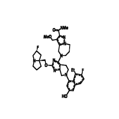 CCc1c(F)ccc2cc(O)cc(N3CCc4c(nc(OC[C@@]56CCCN5C[C@H](F)C6)nc4N4CCCn5nc(C(=O)NC)c(COC)c5C4)C3)c12